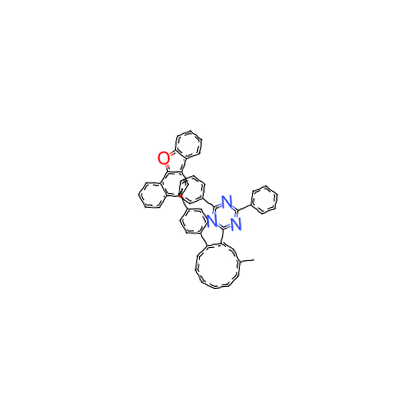 Cc1ccccccc(-c2ccc(-c3cc4c5ccccc5oc4c4ccccc34)cc2)c(-c2nc(-c3ccccc3)nc(-c3ccccc3)n2)c1